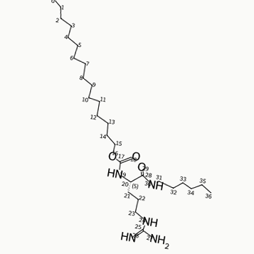 CCCCCCCCCCCCCCCCOC(=O)N[C@@H](CCCNC(=N)N)C(=O)NCCCCCC